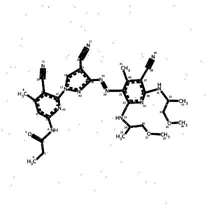 CCC(=O)Nc1cc(C)c(C#N)c(-n2cc(C#N)c(N=Nc3c(NC(C)COC)nc(NC(C)COC)c(C#N)c3C)n2)n1